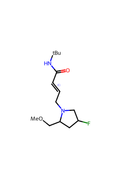 COCC1CC(F)CN1C/C=C/C(=O)NC(C)(C)C